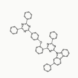 c1ccc(-c2ccc3c4ccccc4n(-c4nc(-c5ccccc5)nc(-c5ccccc5Oc5ccc(-c6nc(-c7ccccc7)nc(-c7ccccc7)n6)cc5)n4)c3c2)cc1